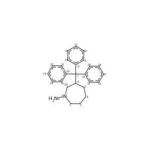 NN1CCCCC(C(c2ccccc2)(c2ccccc2)c2ccccc2)C1